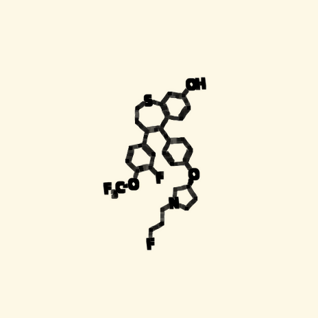 Oc1ccc2c(c1)SCCC(c1ccc(OC(F)(F)F)c(F)c1)=C2c1ccc(O[C@H]2CCN(CCCF)C2)cc1